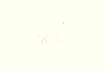 CN(C)C1(c2ccccc2)CCC2(CC1)CN(CCC(=O)Nc1cccnn1)C(=O)N2CC1(O)CCC1